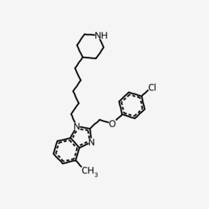 Cc1cccc2c1nc(COc1ccc(Cl)cc1)n2CCCCCC1CCNCC1